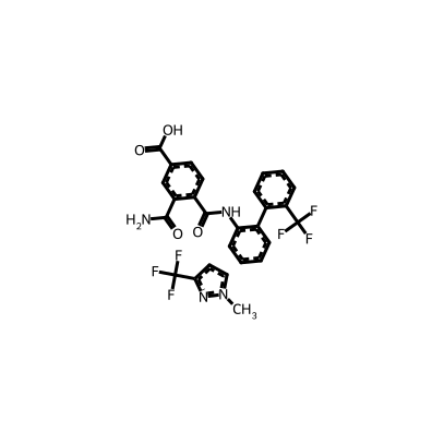 Cn1ccc(C(F)(F)F)n1.NC(=O)c1cc(C(=O)O)ccc1C(=O)Nc1ccccc1-c1ccccc1C(F)(F)F